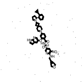 O=C(NS(=O)(=O)c1cnc(NCC2C3COCC23)c([N+](=O)[O-])c1)c1ccc(N2CCC3(CC2)CC(N2CCC[C@H]2c2ccccc2C2CC2)C3)cc1Oc1cnc2[nH]ccc2c1